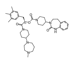 Cc1cc(C[C@@H](OC(=O)N2CCC(N3CCc4ccccc4NC3=O)CC2)C(=O)N2CCC(N3CCCN(C)CC3)CC2)cc(C)c1C